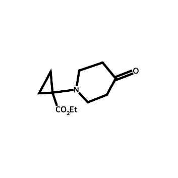 CCOC(=O)C1(N2CCC(=O)CC2)CC1